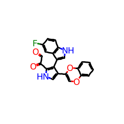 O=CC(=O)c1[nH]cc(C2=COc3ccccc3O2)c1-c1c[nH]c2ccc(F)cc12